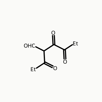 CCC(=O)C(=O)C(C=O)C(=O)CC